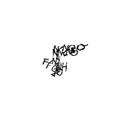 Cc1ccc(S(=O)(=O)n2ccc3c2ncc2nnc([C@H]4C[C@@H](NS(=O)(=O)C5CC5)CN4CC(F)F)n23)cc1